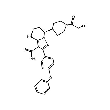 N#CCC(=O)N1CCC([C@@H]2CCNc3c(C(N)=O)c(-c4ccc(Oc5ccccc5)cc4)nn32)CC1